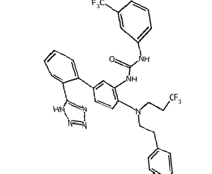 O=C(Nc1cccc(C(F)(F)F)c1)Nc1cc(-c2ccccc2-c2nnn[nH]2)ccc1N(CCc1ccccc1)CCC(F)(F)F